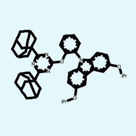 CC(C)Oc1ccc2c(c1)c1cc(OC(C)C)ccc1n2-c1ccccc1Oc1nc(C23CC4CC(CC(C4)C2)C3)nc(C23CC4CC(CC(C4)C2)C3)n1